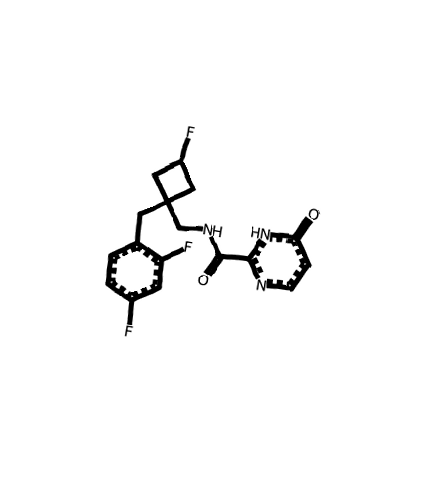 O=C(NCC1(Cc2ccc(F)cc2F)CC(F)C1)c1nccc(=O)[nH]1